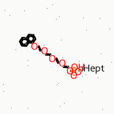 CCCCCCCOP(=O)(O)OCCOCCOCCOCCOc1cccc2ccccc12